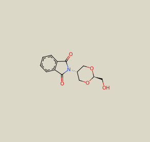 O=C1c2ccccc2C(=O)N1[C@H]1CO[C@H](CO)OC1